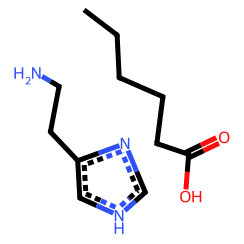 CCCCCC(=O)O.NCCc1c[nH]cn1